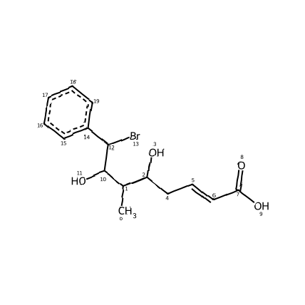 CC(C(O)CC=CC(=O)O)C(O)C(Br)c1ccccc1